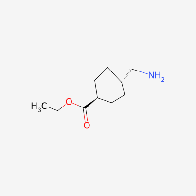 CCOC(=O)[C@H]1CC[C@H](CN)CC1